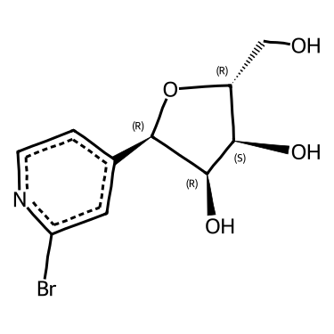 OC[C@H]1O[C@H](c2ccnc(Br)c2)[C@H](O)[C@@H]1O